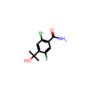 CC(C)(O)c1cc(Br)c(C(N)=O)cc1F